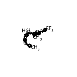 Cc1ccc(CCOc2ccc(CN3CCN(C(=O)C=Cc4cc(C)c(Oc5ccc(OCc6ccc(C(F)(F)F)cc6)cn5)c(Cl)c4)CC3)cc2)cc1.Cl